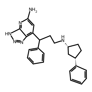 Nc1cc(C(CCN[C@@H]2CC[C@H](c3ccccc3)C2)c2ccccc2)c2nn[nH]c2n1